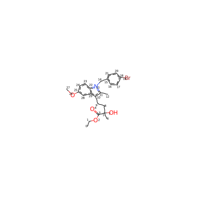 CCOC(=O)C(C)(O)CCc1c(C)n(Cc2ccc(Br)cc2)c2ccc(OC)cc12